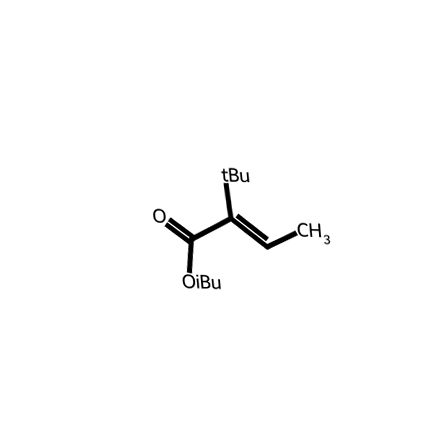 CC=C(C(=O)OCC(C)C)C(C)(C)C